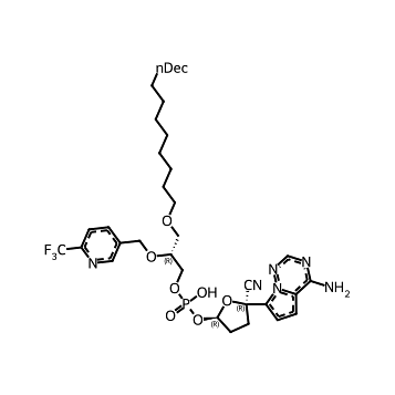 CCCCCCCCCCCCCCCCCCOC[C@H](COP(=O)(O)O[C@@H]1CC[C@](C#N)(c2ccc3c(N)ncnn23)O1)OCc1ccc(C(F)(F)F)nc1